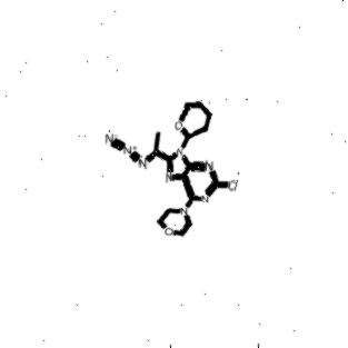 CC(N=[N+]=[N-])c1nc2c(N3CCOCC3)nc(Cl)nc2n1C1CCCCO1